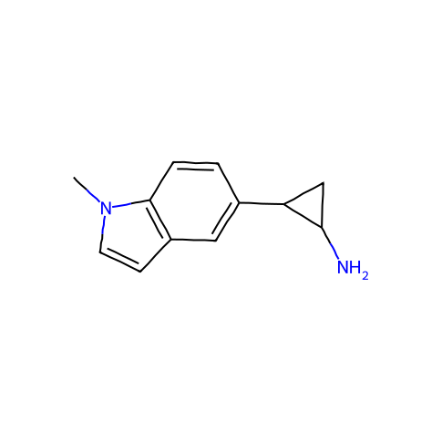 Cn1ccc2cc(C3CC3N)ccc21